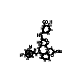 CC(C)(C)C(=O)CN1C(=O)[C@H](NC(=O)Nc2cccc(C(=O)O)c2)CN(C[C@@H]2CC[C@H]3C[C@@H]2C3(C)C)c2ccccc21